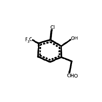 O=CCc1ccc(C(F)(F)F)c(Cl)c1O